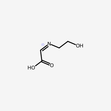 O=C(O)/C=N\CCO